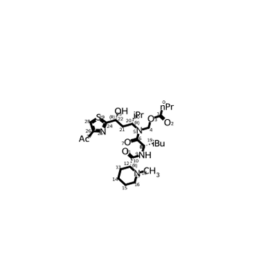 CCCC(=O)OCN(C(=O)[C@@H](NC(=O)[C@H]1CCCCN1C)C(C)CC)[C@H](C[C@@H](O)c1nc(C(C)=O)cs1)C(C)C